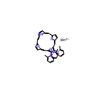 Cc1cccc[n+]1-c1c(-[n+]2ccccc2C)c2cc3nc(cc4ccc(cc5nc(cc1n2-[n+]1ccccc1C)C=C5)[nH]4)C=C3.[Mn+2]